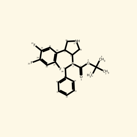 CC(C)(C)OC(=O)N(Cc1ccccc1)C1CNCC1c1cc(F)c(F)cc1F